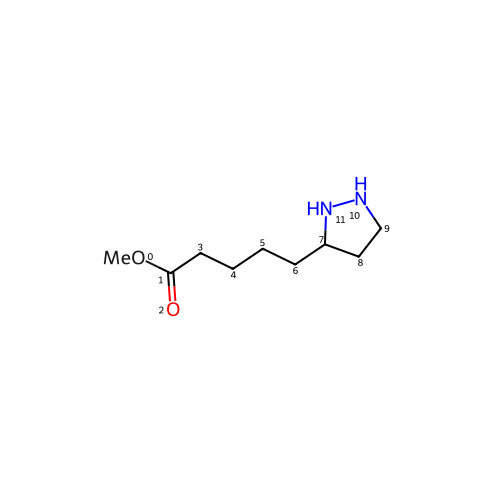 COC(=O)CCCCC1CCNN1